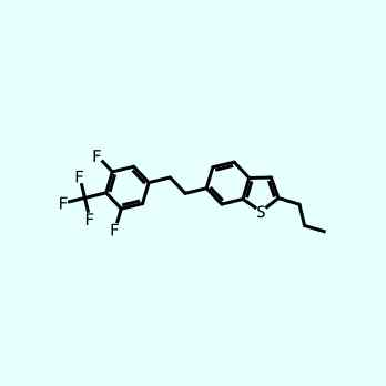 CCCc1cc2ccc(CCc3cc(F)c(C(F)(F)F)c(F)c3)cc2s1